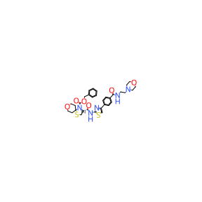 O=C(NCCN1CCOCC1)c1ccc(-c2csc(NC(=O)[C@@H]3CSC4(CCOCC4)N3C(=O)OCc3ccccc3)n2)cc1